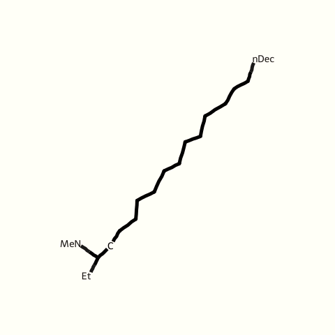 CCCCCCCCCCCCCCCCCCCCCCCC(CC)NC